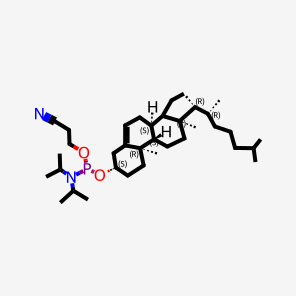 CC(C)CCC[C@@H](C)[C@H]1CCC2[C@@H]3CC=C4C[C@@H](OP(OCCC#N)N(C(C)C)C(C)C)CC[C@]4(C)[C@H]3CC[C@@]21C